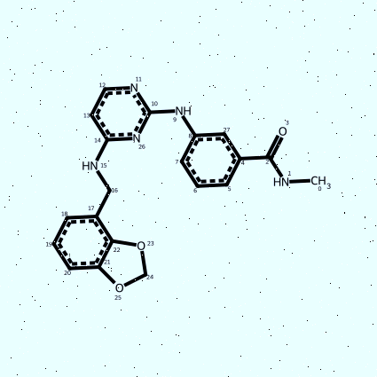 CNC(=O)c1cccc(Nc2nccc(NCc3cccc4c3OCO4)n2)c1